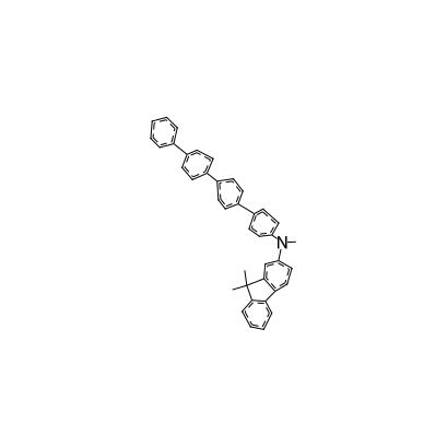 CN(c1ccc(-c2ccc(-c3ccc(-c4ccccc4)cc3)cc2)cc1)c1ccc2c(c1)C(C)(C)c1ccccc1-2